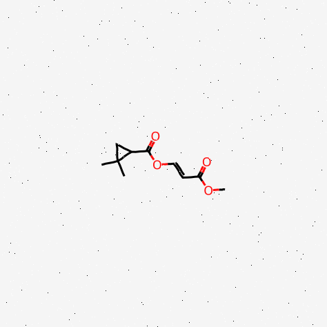 COC(=O)C=COC(=O)C1CC1(C)C